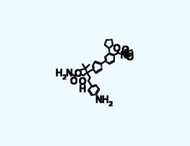 CC(C)(C)C(COC(N)=O)(C[C@@H](O)c1ccc(N)cc1)c1ccc(-c2ccc(C(=O)NS(C)(=O)=O)c(C3CCCC3)c2)cc1